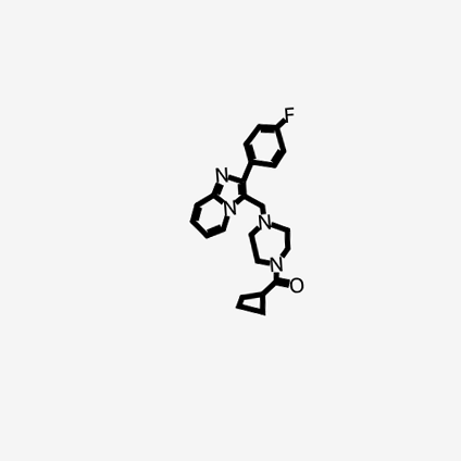 O=C(C1CCC1)N1CCN(Cc2c(-c3ccc(F)cc3)nc3ccccn23)CC1